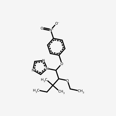 CCOC(C(Oc1ccc([N+](=O)[O-])cc1)n1cncn1)C(C)(C)CC